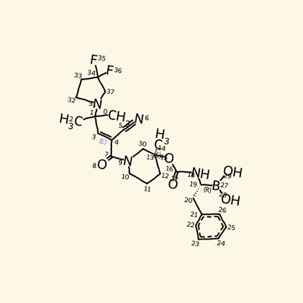 CC(C)(/C=C(\C#N)C(=O)N1CCC[C@](C)(OC(=O)N[C@@H](Cc2ccccc2)B(O)O)C1)N1CCC(F)(F)C1